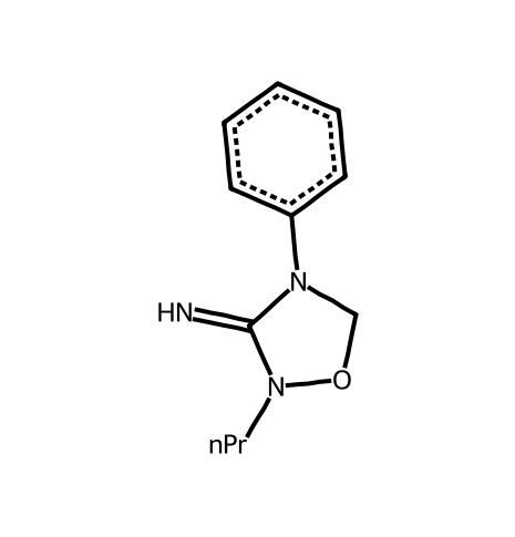 CCCN1OCN(c2ccccc2)C1=N